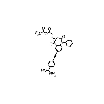 N=C(N)c1ccc(C#Cc2ccc3c(c2)C(=O)N(CCC(=O)OC(=O)C(F)(F)F)CC(=O)N3c2ccccc2)cc1